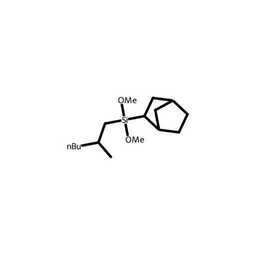 CCCCC(C)C[Si](OC)(OC)C1CC2CCC1C2